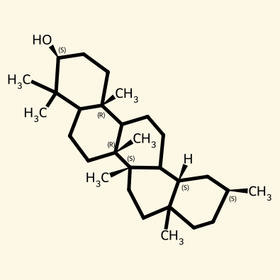 C[C@H]1CCC2(C)CC[C@@]3(C)C(CCC4[C@@]5(C)CC[C@H](O)C(C)(C)C5CC[C@]43C)[C@@H]2C1